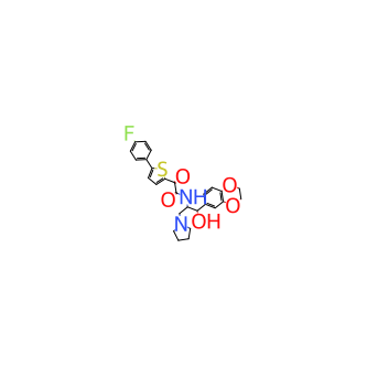 O=C(NC(CN1CCCC1)C(O)c1ccc2c(c1)OCCO2)C(=O)c1ccc(-c2ccc(F)cc2)s1